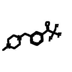 CN1CCN(Cc2cccc(C(=O)C(F)(F)F)c2)CC1